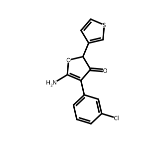 NC1=C(c2cccc(Cl)c2)C(=O)C(c2ccsc2)O1